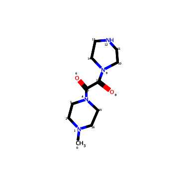 CN1CCN(C(=O)C(=O)N2CCNCC2)CC1